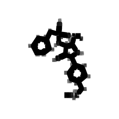 NC1=C(OS(=O)(=O)Cc2ccccc2)C(=O)C(c2ccc(CC(=O)O)cc2)O1